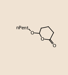 CCCCCOC1CCCC(=O)O1